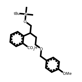 COc1ccc(COCCC(CO[Si](C)(C)C(C)(C)C)c2ccccc2C(=O)O)cc1